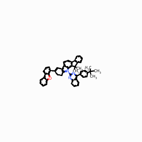 CC(C)(C)c1ccc(-c2nc(-n3c4c(c5ccc6c(c53)C(C)(C)c3ccccc3-6)C=C(c3cccc5c3oc3ccccc35)CC4)nc3ccccc23)cc1